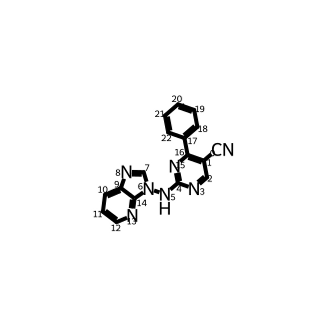 N#Cc1cnc(Nn2cnc3cccnc32)nc1-c1cc[c]cc1